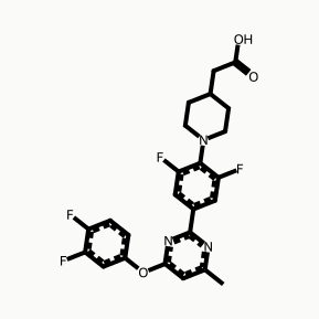 Cc1cc(Oc2ccc(F)c(F)c2)nc(-c2cc(F)c(N3CCC(CC(=O)O)CC3)c(F)c2)n1